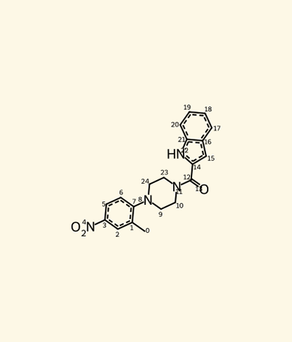 Cc1cc([N+](=O)[O-])ccc1N1CCN(C(=O)c2cc3ccccc3[nH]2)CC1